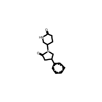 O=C1CCC(N2CC(c3ccccc3)CC2=O)CN1